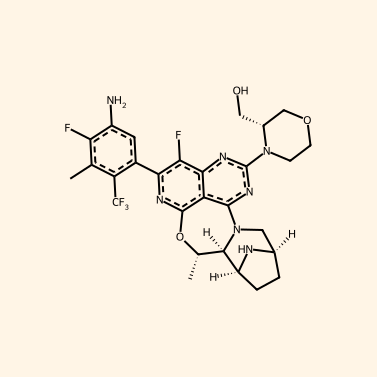 Cc1c(F)c(N)cc(-c2nc3c4c(nc(N5CCOC[C@H]5CO)nc4c2F)N2C[C@H]4CC[C@H](N4)[C@H]2[C@H](C)O3)c1C(F)(F)F